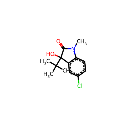 CN1C(=O)C(O)(C(C)(C)C)c2cc(Cl)ccc21